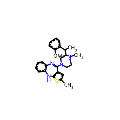 COc1ccccc1C(C)C1CN(C2=Nc3ccccc3Nc3sc(C)cc32)CCN1C